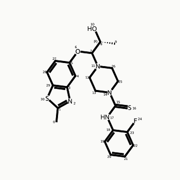 Cc1nc2cc(OC([C@@H](C)O)N3CCN(C(=S)Nc4ccccc4F)CC3)ccc2s1